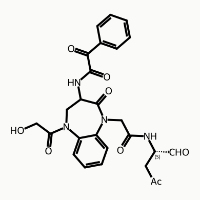 CC(=O)C[C@@H](C=O)NC(=O)CN1C(=O)C(NC(=O)C(=O)c2ccccc2)CN(C(=O)CO)c2ccccc21